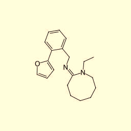 CCN1CCCCCC/C1=N/Cc1ccccc1-c1ccco1